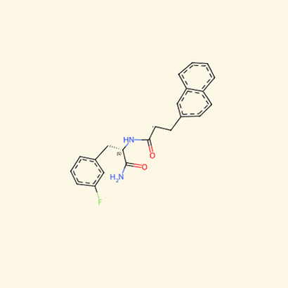 NC(=O)[C@H](Cc1cccc(F)c1)NC(=O)[CH]Cc1ccc2ccccc2c1